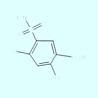 Cc1cc(Cl)c(S(N)(=O)=O)cc1C(=O)O